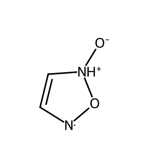 [O-][NH+]1C=C[N]O1